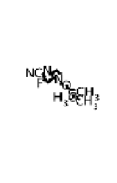 C[Si](C)(C)CCOCn1ccc2nc(C#N)c(F)cc21